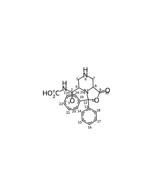 O=C(O)NC(=O)C1CNCC2C(=O)OC(c3ccccc3)(c3ccccc3)N12